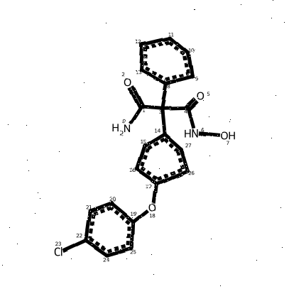 NC(=O)C(C(=O)NO)(c1ccccc1)c1ccc(Oc2ccc(Cl)cc2)cc1